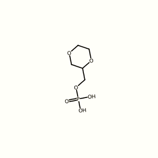 O=P(O)(O)OCC1COCCO1